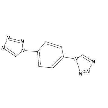 c1cc(-n2cnnn2)ccc1-n1cnnn1